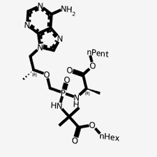 CCCCCCOC(=O)C(C)(C)NP(=O)(CO[C@H](C)Cn1cnc2c(N)ncnc21)N[C@H](C)C(=O)OCCCCC